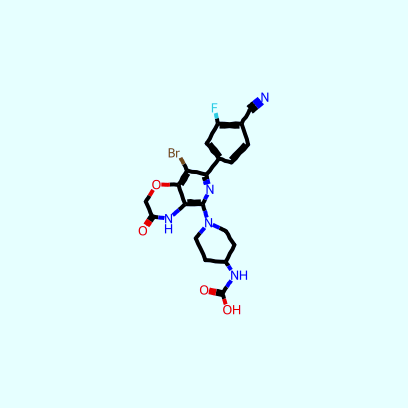 N#Cc1ccc(-c2nc(N3CCC(NC(=O)O)CC3)c3c(c2Br)OCC(=O)N3)cc1F